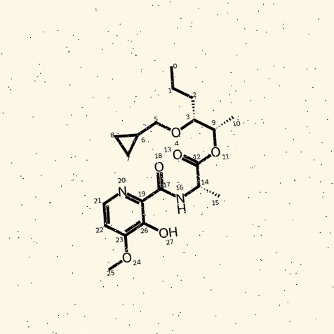 CCC[C@@H](OCC1CC1)[C@H](C)OC(=O)[C@H](C)NC(=O)c1nccc(OC)c1O